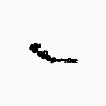 CCCCCCCCCCCCCCCCOC(C)c1ccc(C(=O)Oc2ccc(-c3ccc(OCCCC)cc3)cc2)cc1